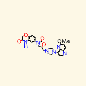 COc1ccc2nccc(N3CCN(CC4CN(c5ccc6c(c5)NC(=O)CO6)C(=O)O4)CC3)c2n1